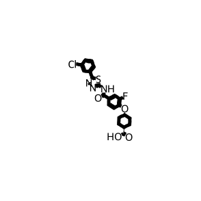 O=C(Nc1nnc(-c2cccc(Cl)c2)s1)c1ccc(O[C@H]2CC[C@@H](C(=O)O)CC2)c(F)c1